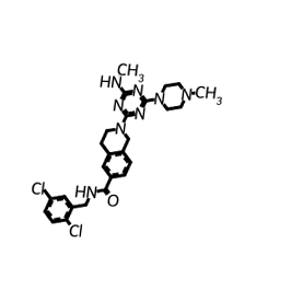 CNc1nc(N2CCN(C)CC2)nc(N2CCc3cc(C(=O)NCc4cc(Cl)ccc4Cl)ccc3C2)n1